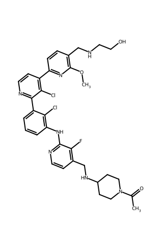 COc1nc(-c2ccnc(-c3cccc(Nc4nccc(CNC5CCN(C(C)=O)CC5)c4F)c3Cl)c2Cl)ccc1CNCCO